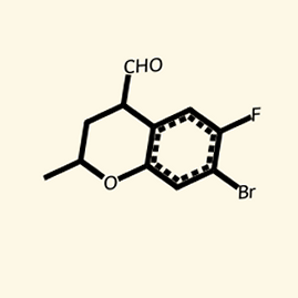 CC1CC(C=O)c2cc(F)c(Br)cc2O1